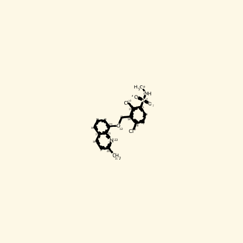 CNS(=O)(=O)c1ccc(Cl)c(COc2cccc3ccc(C)nc23)c1Cl